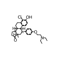 CCN(CC)CCOc1ccc([C@H]2C[C@]3(C)C(=O)CC[C@H]3[C@@H]3CCc4c(ccc(O)c4Cl)[C@H]32)cc1